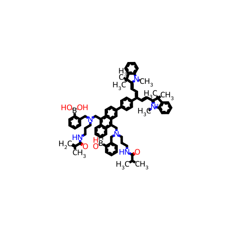 C=C(C)C(=O)NCCCN(Cc1ccccc1B(O)O)Cc1c2ccccc2c(CN(CCCNC(=O)C(C)C)Cc2ccccc2BO)c2cc(-c3ccc(C(=C\C=C4/N(C)c5ccccc5C4(C)C)/C=C/C4=[N+](C)c5ccccc5C4(C)C)cc3)ccc12